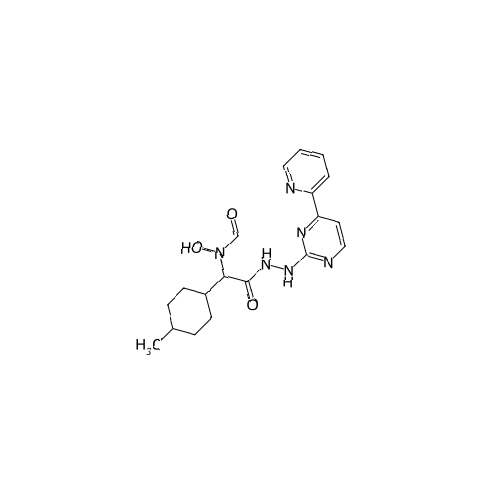 CC1CCC(C(C(=O)NNc2nccc(-c3ccccn3)n2)N(O)C=O)CC1